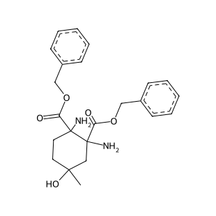 CC1(O)CCC(N)(C(=O)OCc2ccccc2)C(N)(C(=O)OCc2ccccc2)C1